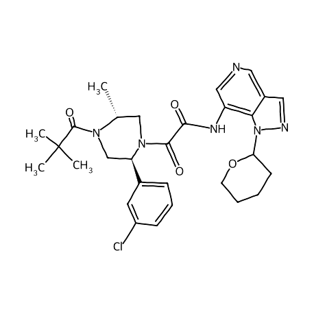 C[C@@H]1CN(C(=O)C(=O)Nc2cncc3cnn(C4CCCCO4)c23)[C@@H](c2cccc(Cl)c2)CN1C(=O)C(C)(C)C